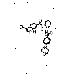 O=C(N[C@H]1CCCC[C@H]1NC(=O)c1ccc2c(Cl)c[nH]c2c1)c1ccc(N2CCOCC2)cc1